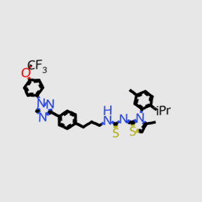 Cc1ccc(C(C)C)c(-n2c(C)cs/c2=N\C(=S)NCCCc2ccc(-c3ncn(-c4ccc(OC(F)(F)F)cc4)n3)cc2)c1